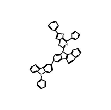 c1ccc(-c2cc3nc(-n4c5ccc(-c6ccc7c(c6)c6ccccc6n7-c6ccccc6)cc5c5ccc6ccccc6c54)nc(-c4ccccc4)c3s2)cc1